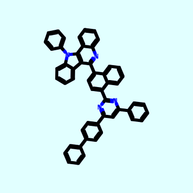 c1ccc(-c2ccc(-c3cc(-c4ccccc4)nc(-c4ccc(-c5nc6ccccc6c6c5c5ccccc5n6-c5ccccc5)c5ccccc45)n3)cc2)cc1